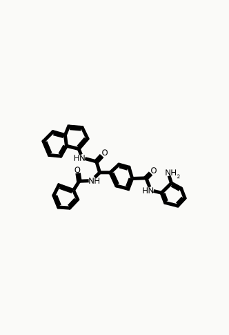 Nc1ccccc1NC(=O)c1ccc(C(NC(=O)c2ccccc2)C(=O)Nc2cccc3ccccc23)cc1